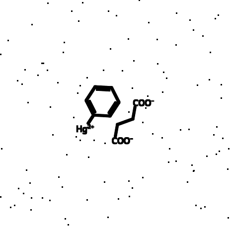 O=C([O-])CCC(=O)[O-].[Hg+2][c]1ccccc1